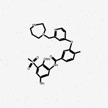 COc1c(NC(=O)c2ccc(C)c(Oc3ccnc(CN4CCCNCC4)c3)c2)cc(C(C)(C)C)cc1S(C)(=O)=O